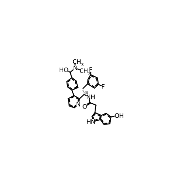 CN(C)C(O)c1ccc(-c2cccnc2[C@H](Cc2cc(F)cc(F)c2)NC(=O)Cc2c[nH]c3ccc(O)cc23)cc1